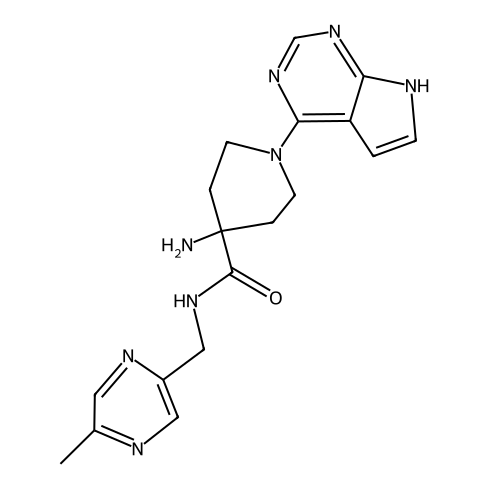 Cc1cnc(CNC(=O)C2(N)CCN(c3ncnc4[nH]ccc34)CC2)cn1